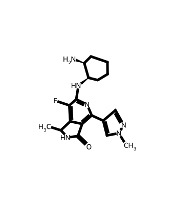 CC1NC(=O)c2c(-c3cnn(C)c3)nc(N[C@@H]3CCCC[C@@H]3N)c(F)c21